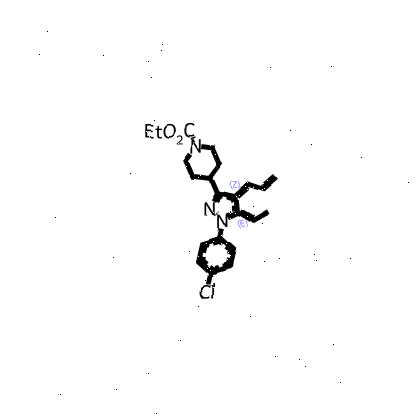 C=C/C=c1/c(C2CCN(C(=O)OCC)CC2)nn(-c2ccc(Cl)cc2)/c1=C/C